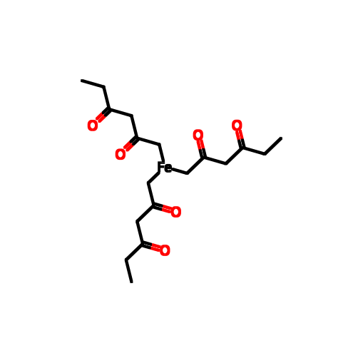 CCC(=O)CC(=O)[CH2][Fe]([CH2]C(=O)CC(=O)CC)[CH2]C(=O)CC(=O)CC